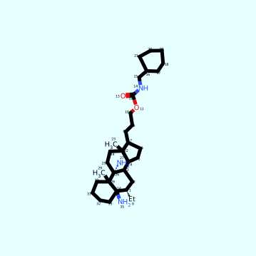 CC[C@H]1CC2C3CCC(CCCOC(=O)NCC4CCCCC4)C3(C)CC[C@]2(N)C2(C)CCCCC12N